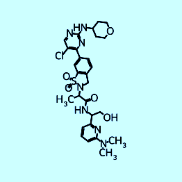 CC(C(=O)NC(CO)c1cccc(N(C)C)n1)N1Cc2ccc(-c3nc(NC4CCOCC4)ncc3Cl)cc2S1(=O)=O